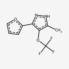 Cc1[nH]nc(-c2ccco2)c1OC(F)(F)F